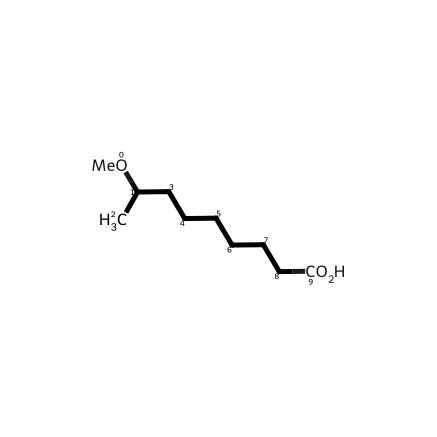 COC(C)CCCCCCC(=O)O